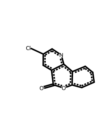 O=c1oc2ccccc2c2ncc(Cl)cc12